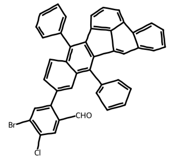 O=Cc1cc(Cl)c(Br)cc1-c1ccc2c(-c3ccccc3)c3c(c(-c4ccccc4)c2c1)-c1cc2ccccc2c2cccc-3c12